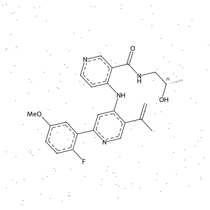 C=C(C)c1cnc(-c2cc(OC)ccc2F)cc1Nc1ccncc1C(=O)NC[C@H](C)O